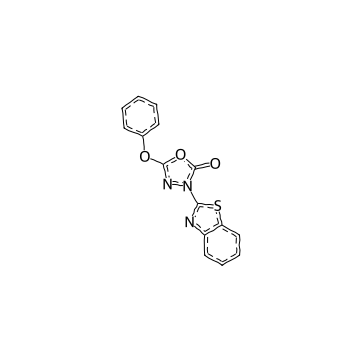 O=c1oc(Oc2ccccc2)nn1-c1nc2ccccc2s1